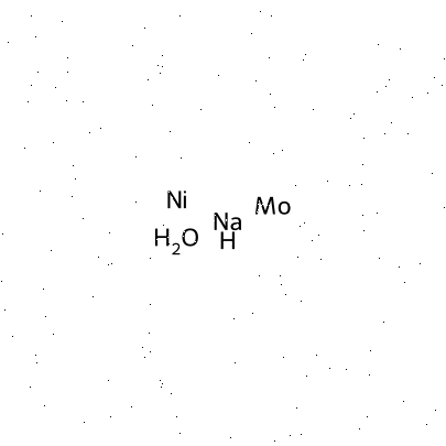 O.[Mo].[NaH].[Ni]